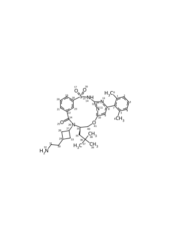 Cc1cccc(C)c1-c1cc2nc(n1)NS(=O)(=O)c1cccc(c1)C(=O)N(C1CC(CCN)C1)[C@H](CC(C)(C)C)CO2